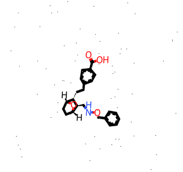 O=C(O)c1ccc(CC[C@@H]2[C@@H](CNOCc3ccccc3)[C@@H]3CC[C@H]2O3)cc1